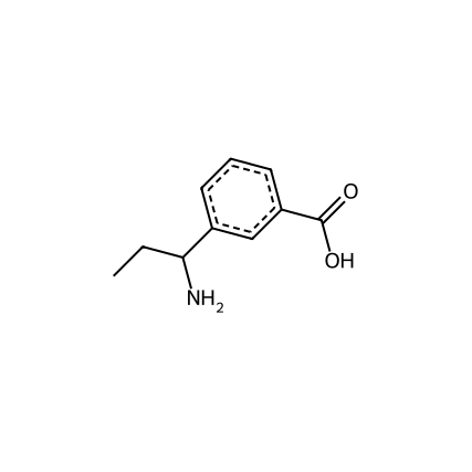 CCC(N)c1cccc(C(=O)O)c1